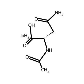 CC(=O)N[C@@H](CC(N)=O)C(=O)O.[InH3]